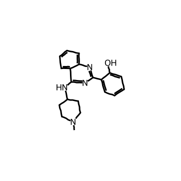 CN1CCC(Nc2nc(-c3ccccc3O)nc3ccccc23)CC1